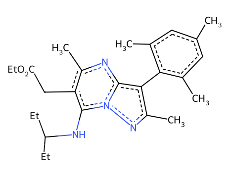 CCOC(=O)Cc1c(C)nc2c(-c3c(C)cc(C)cc3C)c(C)nn2c1NC(CC)CC